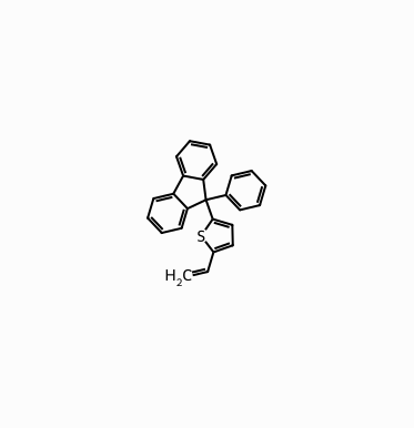 C=Cc1ccc(C2(c3ccccc3)c3ccccc3-c3ccccc32)s1